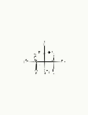 CC(C(F)(F)F)(C(F)(F)F)S(C)(=O)=O